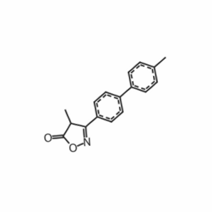 Cc1ccc(-c2ccc(C3=NOC(=O)C3C)cc2)cc1